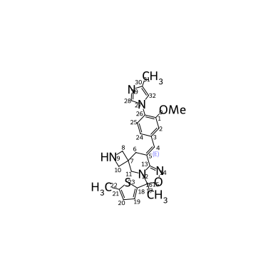 COc1cc(/C=C2\CC3(CNC3)CN3C2=NOC3(C)c2ccc(C)s2)ccc1-n1cnc(C)c1